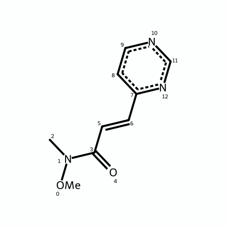 CON(C)C(=O)/C=C/c1ccncn1